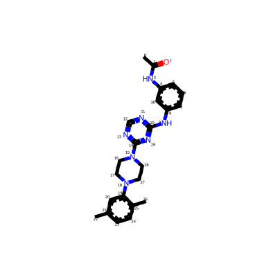 CC(=O)Nc1cccc(Nc2ncnc(N3CCN(c4cc(C)ccc4C)CC3)n2)c1